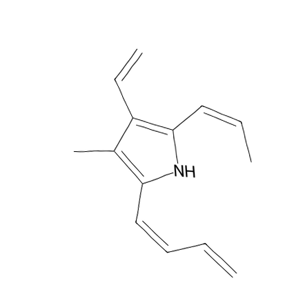 C=C/C=C\c1[nH]c(/C=C\C)c(C=C)c1C